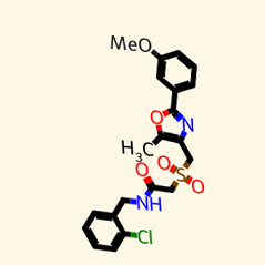 COc1cccc(-c2nc(CS(=O)(=O)CC(=O)NCc3ccccc3Cl)c(C)o2)c1